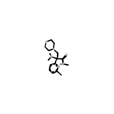 CNC(=S)C(CN1CCOCC1)(c1cccc(C)n1)N(C)C